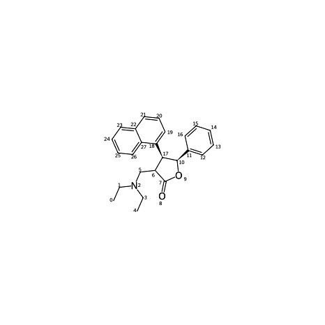 CCN(CC)CC1C(=O)O[C@H](c2ccccc2)[C@@H]1c1cccc2ccccc12